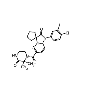 CC1(C)C(=O)NCCN1C(=O)c1ccc2c(n1)C1(CCCC1)C(=O)N2c1ccc(Cl)c(I)c1